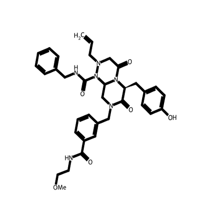 C=CCN1CC(=O)N2C(CN(Cc3cccc(C(=O)NCCOC)c3)C(=O)[C@@H]2Cc2ccc(O)cc2)N1C(=O)NCc1ccccc1